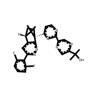 CC(C)(O)c1cnc(-c2nccc([C@]34CC[C@@H](c5cc(-c6c(F)cccc6F)nnc53)C4(C)C)n2)cn1